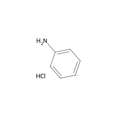 Cl.Nc1cc[c]cc1